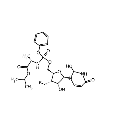 CC(C)OC(=O)[C@H](C)NP(=O)(OC[C@H]1O[C@@H](N2C=CC(=O)NC2O)[C@H](O)[C@@H]1CF)Oc1ccccc1